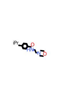 CC(C)Cc1ccc(C(=O)NCCN2CCOCC2)cc1